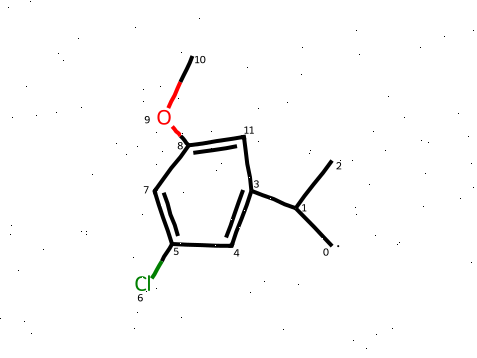 [CH2]C(C)c1cc(Cl)cc(OC)c1